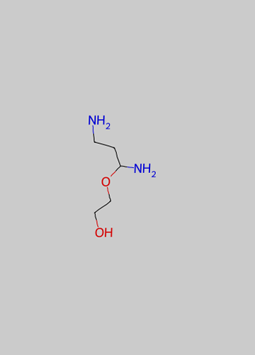 NCCC(N)OCCO